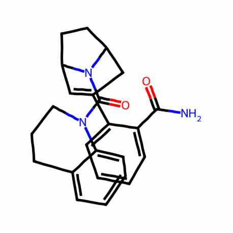 NC(=O)c1ccccc1C1=CC2CCC(C1)N2C(=O)N1CCCc2ccccc21